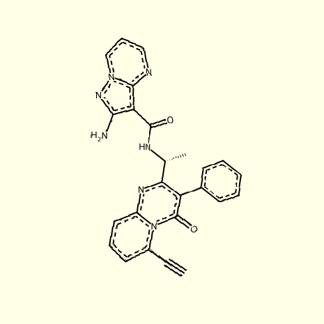 C#Cc1cccc2nc([C@@H](C)NC(=O)c3c(N)nn4cccnc34)c(-c3ccccc3)c(=O)n12